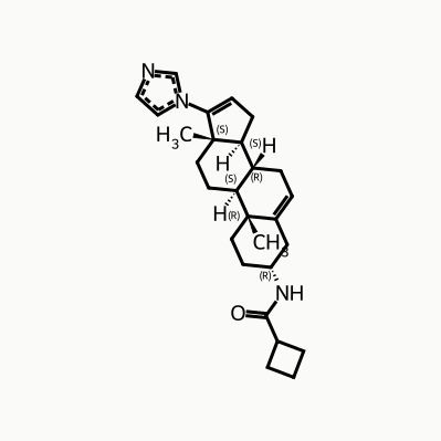 C[C@]12CC[C@@H](NC(=O)C3CCC3)CC1=CC[C@@H]1[C@@H]2CC[C@]2(C)C(n3ccnc3)=CC[C@@H]12